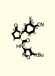 CC(C)(C)c1cc(NC(=O)[C@@H]2CCC(=O)N2c2ccc(C#N)c(F)c2)no1